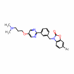 CC(=O)c1ccc2c(c1)oc(=O)n2Cc1cccc(-c2ncc(OCCCN(C)C)cn2)c1